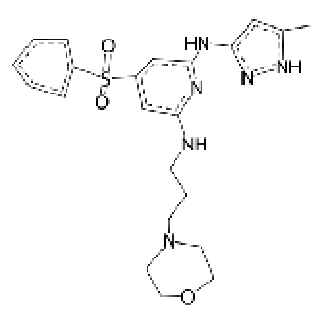 Cc1cc(Nc2cc(S(=O)(=O)c3ccccc3)cc(NCCCN3CCOCC3)n2)n[nH]1